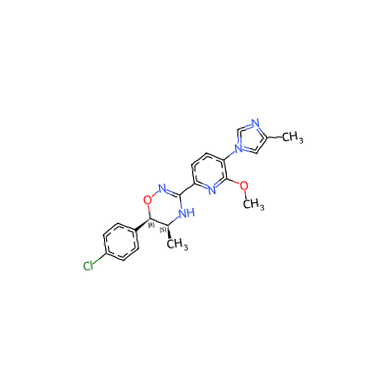 COc1nc(C2=NO[C@H](c3ccc(Cl)cc3)[C@H](C)N2)ccc1-n1cnc(C)c1